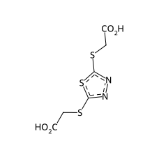 O=C(O)CSc1nnc(SCC(=O)O)s1